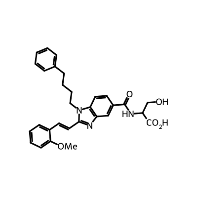 COc1ccccc1C=Cc1nc2cc(C(=O)NC(CO)C(=O)O)ccc2n1CCCCc1ccccc1